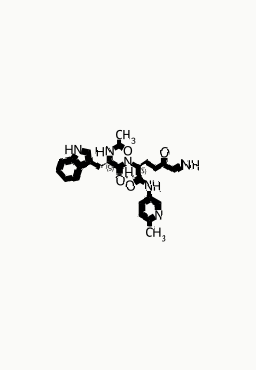 CC(=O)N[C@@H](Cc1c[nH]c2ccccc12)C(=O)N[C@@H](CCC(=O)C=N)C(=O)Nc1ccc(C)nc1